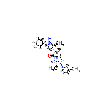 Cc1cccc(N2CCN(C(=O)C(=O)c3cc(-c4ccccc4)[nH]c3C)CC2C)c1